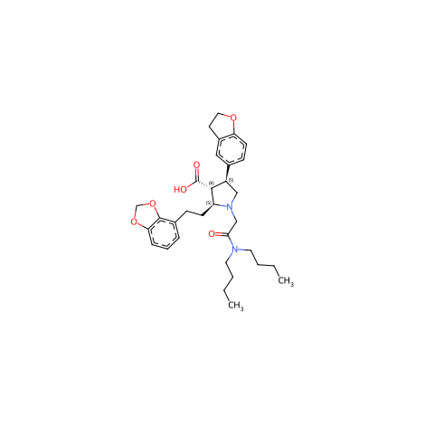 CCCCN(CCCC)C(=O)CN1C[C@H](c2ccc3c(c2)CCO3)[C@@H](C(=O)O)[C@@H]1CCc1cccc2c1OCO2